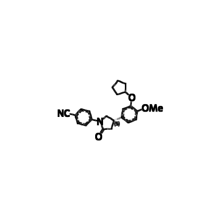 COc1ccc([C@@H]2CC(=O)N(c3ccc(C#N)cc3)C2)cc1OC1CCCC1